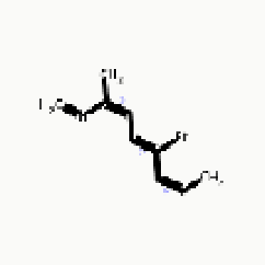 C=N\C(C)=C/C=C(/C=C\C)CC